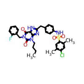 CCCCn1c(=O)n(Cc2ccccc2F)c(=O)c2[nH]c(Cc3ccc(NS(=O)(=O)c4cc(C)c(Cl)cc4C)cc3)nc21